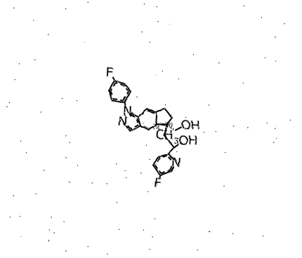 C[C@]12Cc3cnn(-c4ccc(F)cc4)c3C=C1CC[C@@]2(CO)CC(O)c1ccc(F)cn1